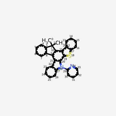 CC1(C)c2ccccc2-c2c1c1c3ccccc3sc1c1c2c2ccccc2n1-c1ccccn1